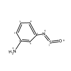 Nc1cccc(N=S=O)c1